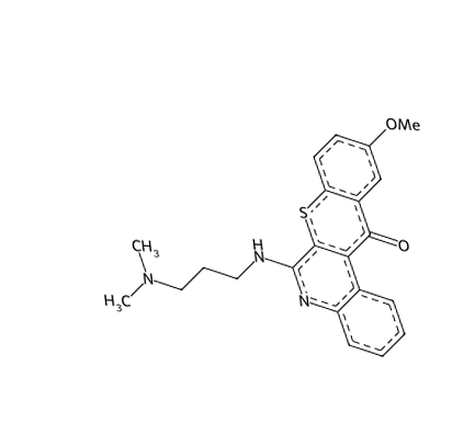 COc1ccc2sc3c(NCCCN(C)C)nc4ccccc4c3c(=O)c2c1